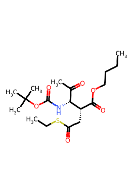 CCCCOC(=O)[C@H](CC(=O)SCC)[C@H](NC(=O)OC(C)(C)C)C(C)=O